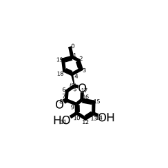 Cc1ccc([C@@H]2CC(=O)c3c(O)cc(O)cc3O2)cc1